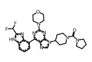 O=C(N1CCCC1)N1CCC(n2cnc3c(-c4cccc5[nH]c(C(F)F)nc45)nc(N4CCOCC4)nc32)CC1